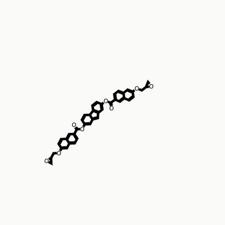 O=C(OC1=CC2=Cc3cc(OC(=O)c4ccc5cc(OCC6CO6)ccc5c4)ccc3C2C=C1)c1ccc2cc(OCC3CO3)ccc2c1